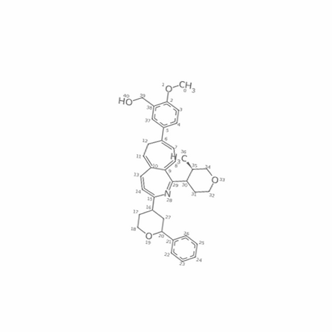 COc1ccc(C2=CC=C3C(=CC2)C=C=C(C2CCOC(c4ccccc4)C2)N=C3C2CCOC[C@@H]2C)cc1CO